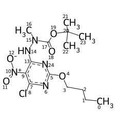 CCCCOc1nc(Cl)c([N+](=O)[O-])c(NN(C)C(=O)OC(C)(C)C)n1